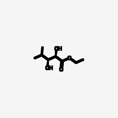 CCOC(=O)[C@H](O)[C@@H](O)C(C)C